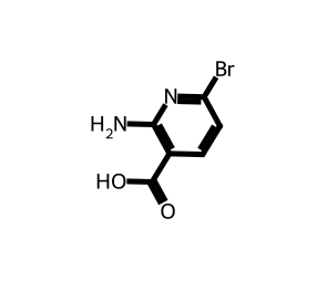 Nc1nc(Br)ccc1C(=O)O